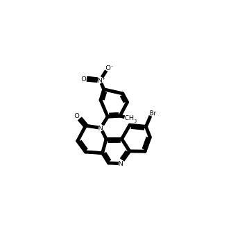 Cc1ccc([N+](=O)[O-])cc1-n1c(=O)ccc2cnc3ccc(Br)cc3c21